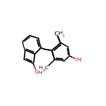 Cc1cc(O)cc(C)c1-c1cccc2c1C(O)=C2